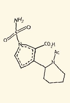 CC(=O)N1CCCCC1c1ccn(S(N)(=O)=O)c1C(=O)O